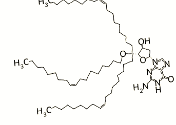 CCCCCCCC/C=C\CCCCCCCCOC(CCCCCCCC/C=C\CCCCCCCC)(CCCCCCCC/C=C\CCCCCCCC)[C@H]1O[C@@H](n2cnc3c(=O)[nH]c(N)nc32)C[C@@H]1O